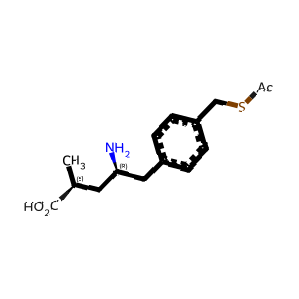 CC(=O)SCc1ccc(C[C@H](N)C[C@H](C)C(=O)O)cc1